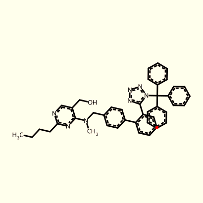 CCCCc1ncc(CO)c(N(C)Cc2ccc(-c3ccccc3-c3nnnn3C(c3ccccc3)(c3ccccc3)c3ccccc3)cc2)n1